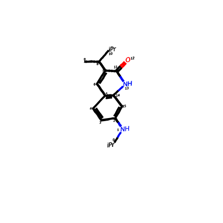 CC(C)Nc1ccc2cc(C(C)C(C)C)c(=O)[nH]c2c1